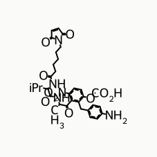 CC(NC(=O)C(NC(=O)CCCCCN1C(=O)C=CC1=O)C(C)C)C(=O)c1c([N+](=O)[O-])ccc(OC(=O)O)c1Cc1ccc(N)cc1